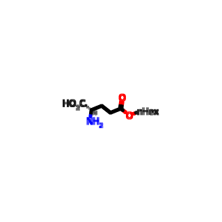 CCCCCCOC(=O)CC[C@H](N)C(=O)O